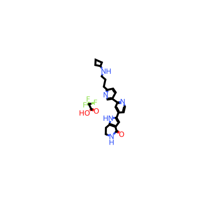 O=C(O)C(F)(F)F.O=C1NCCc2[nH]c(-c3ccnc(-c4ccc(CCCNC5CCC5)nc4)c3)cc21